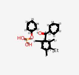 CCc1c(C)cc(C)c(C(=O)c2ccccc2)c1C.OP(O)Oc1ccccc1